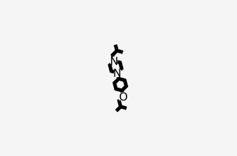 CC(C)COC1CCC(N2CCN(CC(C)C)CC2)CC1